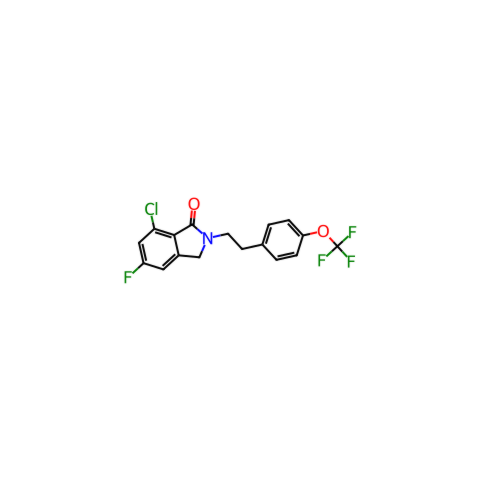 O=C1c2c(Cl)cc(F)cc2CN1CCc1ccc(OC(F)(F)F)cc1